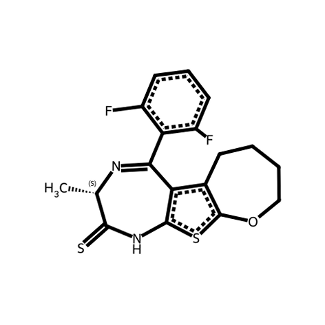 C[C@@H]1N=C(c2c(F)cccc2F)c2c(sc3c2CCCCO3)NC1=S